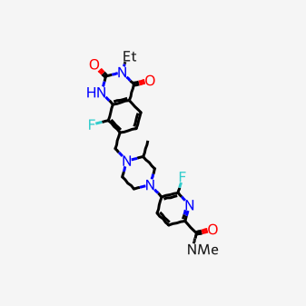 CCn1c(=O)[nH]c2c(F)c(CN3CCN(c4ccc(C(=O)NC)nc4F)CC3C)ccc2c1=O